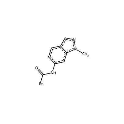 CCC(=O)Nc1ccc2cnn(C)c2c1